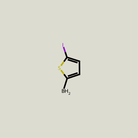 Bc1ccc(I)s1